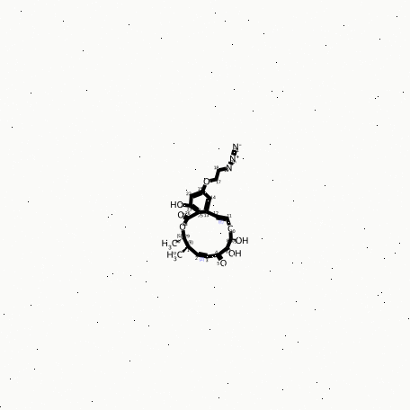 C[C@@H]1/C=C\C(=O)C(O)[C@@H](O)C/C=C/c2cc(OCCN=[N+]=[N-])cc(O)c2C(=O)O[C@H]1C